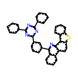 c1ccc(-c2nc(-c3ccccc3)nc(-c3cccc(-c4nc5c(ccc6sc7ccccc7c65)c5ccccc45)c3)n2)cc1